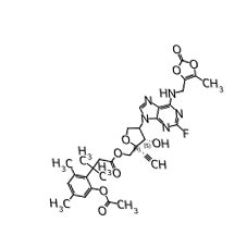 C#C[C@]1(COC(=O)CC(C)(C)c2c(C)cc(C)cc2OC(C)=O)OCC(n2cnc3c(NCc4oc(=O)oc4C)nc(F)nc32)[C@@H]1O